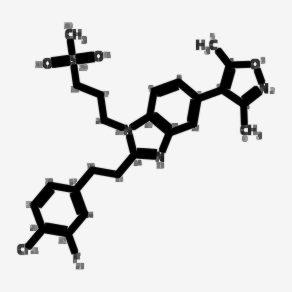 Cc1noc(C)c1-c1ccc2c(c1)nc(CCc1ccc(Cl)c(F)c1)n2CCCS(C)(=O)=O